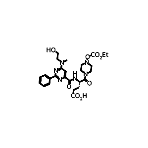 CCOC(=O)ON1CCN(C(=O)[C@H](CCC(=O)O)NC(=O)c2cc(N(C)CCO)nc(-c3ccccc3)n2)CC1